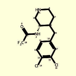 O=C(N[C@@H]1CNCCC1Cc1ccc(Cl)c(Cl)c1)C(F)(F)F